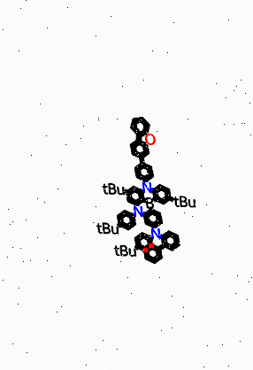 CC(C)(C)c1ccc(N(c2ccc3c(c2)N(c2ccc(C(C)(C)C)cc2)c2cc(C(C)(C)C)cc4c2B3c2cc(C(C)(C)C)ccc2N4c2ccc(-c3ccc4c(c3)oc3ccccc34)cc2)c2ccccc2-c2ccccc2)cc1